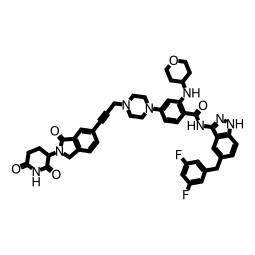 O=C1CCC(N2Cc3ccc(C#CCN4CCN(c5ccc(C(=O)Nc6n[nH]c7ccc(Cc8cc(F)cc(F)c8)cc67)c(NC6CCOCC6)c5)CC4)cc3C2=O)C(=O)N1